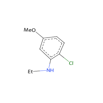 CCNc1cc(OC)ccc1Cl